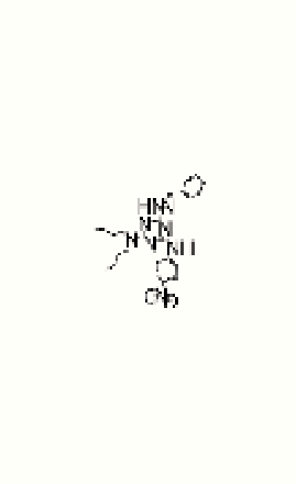 CCCCN(CCCC)c1nc(N/N=C/c2ccccc2)nc(Nc2ccc([N+](=O)[O-])cc2)n1